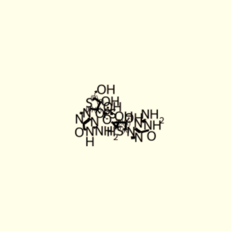 Nc1nc2c(ncn2[C@@H]2S[C@H](CO)[C@@H](O)[C@H]2OP(O)(=S)OC2[C@H]3S[C@@H](n4cnc5c(=O)[nH]c(N)nc54)[C@H](O)[C@@]23O)c(=O)[nH]1